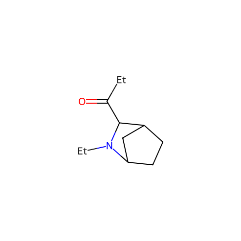 CCC(=O)C1C2CCC(C2)N1CC